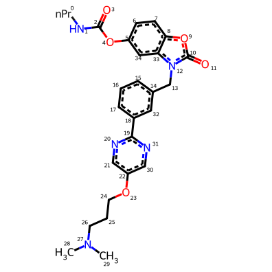 CCCNC(=O)Oc1ccc2oc(=O)n(Cc3cccc(-c4ncc(OCCCN(C)C)cn4)c3)c2c1